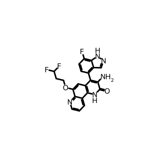 Nc1c(-c2ccc(F)c3[nH]ncc23)c2cc(OCCC(F)F)c3ncccc3c2[nH]c1=O